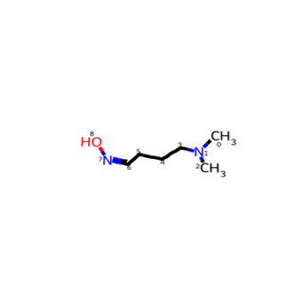 CN(C)CCC/C=N\O